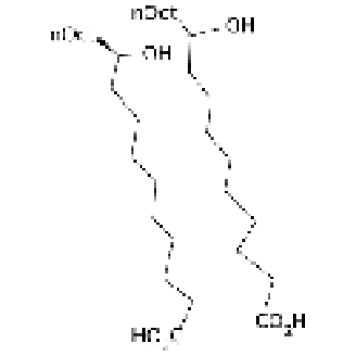 CCCCCCCCC(O)CCCCCCCCC(=O)O.CCCCCCCC[C@@H](O)CCCCCCCCC(=O)O